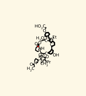 C=CC(=O)N1CC[C@H](C(=O)N(C)C(C(=O)N[C@H]2Cc3cc(O)cc(c3)-c3ccc4c(c3)c(c(-c3ccc(OCC(=O)O)cc3)n4CC)CC(C)(C)COC(=O)[C@@H]3CCCN(N3)C2=O)C(C)C)C1